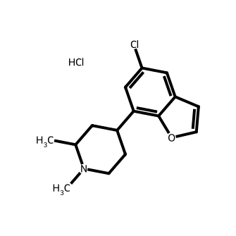 CC1CC(c2cc(Cl)cc3ccoc23)CCN1C.Cl